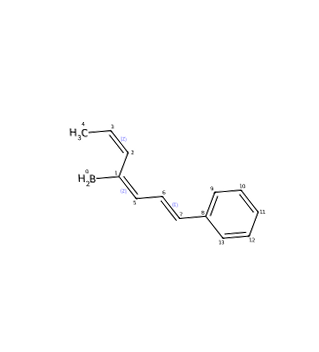 BC(/C=C\C)=C/C=C/c1ccccc1